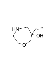 C=CC1(O)CNCCOC1